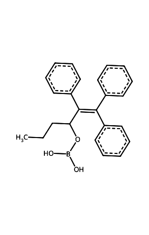 CCCC(OB(O)O)C(=C(c1ccccc1)c1ccccc1)c1ccccc1